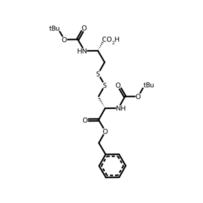 CC(C)(C)OC(=O)N[C@@H](CSSC[C@H](NC(=O)OC(C)(C)C)C(=O)OCc1ccccc1)C(=O)O